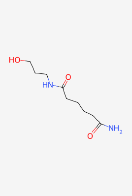 NC(=O)CCCCC(=O)NCCCO